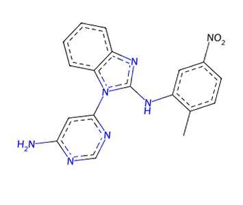 Cc1ccc([N+](=O)[O-])cc1Nc1nc2ccccc2n1-c1cc(N)ncn1